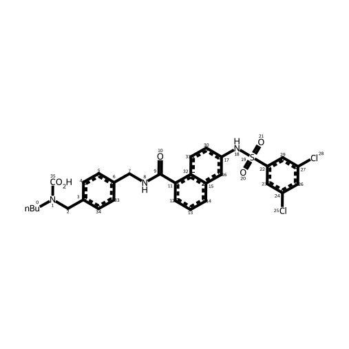 CCCCN(Cc1ccc(CNC(=O)c2cccc3cc(NS(=O)(=O)c4cc(Cl)cc(Cl)c4)ccc23)cc1)C(=O)O